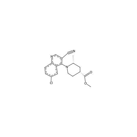 COC(=O)[C@@H]1CCN(c2c(C#N)cnc3ccc(Cl)cc23)[C@H](C)C1